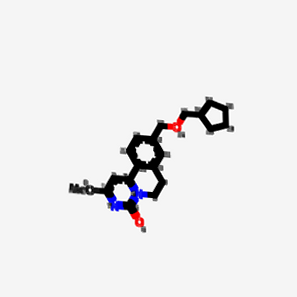 COc1cc2n(c(=O)n1)CCc1cc(COCC3CCCC3)ccc1-2